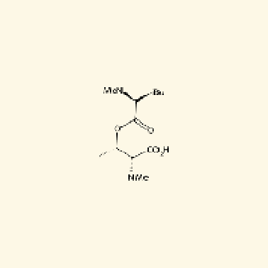 CC[C@H](C)[C@H](NC)C(=O)O[C@@H](C)[C@@H](NC)C(=O)O